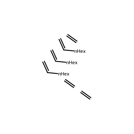 C=C.C=C.C=C.C=CCCCCCC.C=CCCCCCC.C=CCCCCCC